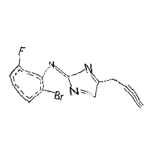 C#CCC1=NC(=Nc2c(F)cccc2Br)N=C1